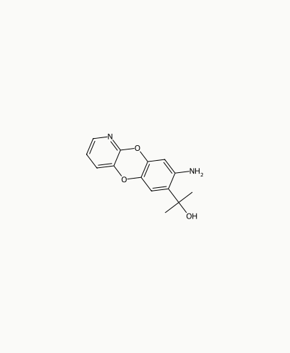 CC(C)(O)c1cc2c(cc1N)Oc1ncccc1O2